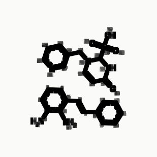 Nc1cccc(C=Cc2ccccc2)c1N.O=C1C=CN(Cc2cccnc2)C(S(=O)(=O)O)N1